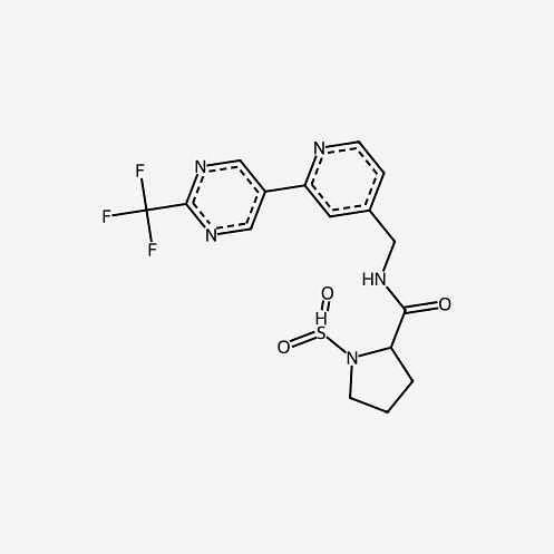 O=C(NCc1ccnc(-c2cnc(C(F)(F)F)nc2)c1)C1CCCN1[SH](=O)=O